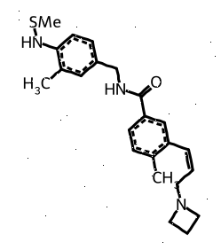 CSNc1ccc(CNC(=O)c2ccc(C)c(/C=C\CN3CCC3)c2)cc1C